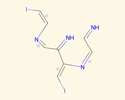 N=C/C=N\C(=C/I)C(=N)/C=N\C=C/I